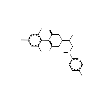 Cc1ccc([S+]([O-])CC(C)C2CC(=O)C(c3c(C)cc(C)cc3C)=C(O)C2)nc1